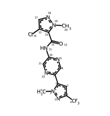 Cn1nc(C(F)(F)F)cc1-c1cnc(NC(=O)c2c(Cl)cnn2C)cn1